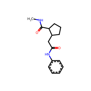 CNC(=O)C1CCCC1CC(=O)Nc1ccccc1